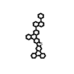 c1ccc(-c2cccc3c(-c4ccc5c(c4)c4ccccc4c4cc6c(cc54)sc4cc5c7ccccc7c7ccccc7c5cc46)cccc23)cc1